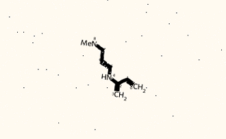 C=CC(=C)NC=CCNC